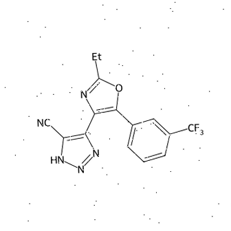 CCc1nc(-c2nn[nH]c2C#N)c(-c2cccc(C(F)(F)F)c2)o1